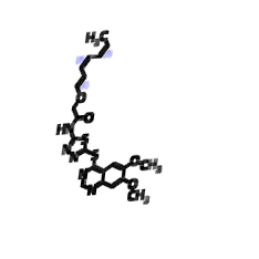 C\C=C/C=C\C=C\OCC(=O)Nc1nnc(Sc2ncnc3cc(OC)c(OC)cc23)s1